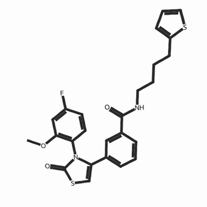 COc1cc(F)ccc1-n1c(-c2cccc(C(=O)NCCCCc3cccs3)c2)csc1=O